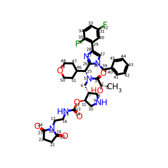 C[C@H](O)C(=O)N(C[C@@H]1CNC[C@H]1OC(=O)NCCN1C(=O)CCC1=O)[C@@H](c1nc(-c2cc(F)ccc2F)cn1Cc1ccccc1)C1CCOCC1